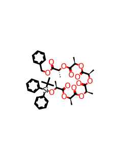 C[C@H](O[Si](c1ccccc1)(c1ccccc1)C(C)(C)C)C(=O)O[C@H](C)C(=O)O[C@H](C)C(=O)O[C@H](C)C(=O)O[C@H](C)C(=O)O[C@H](C)C(=O)OCc1ccccc1